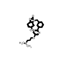 CN(C)CCCOc1cnc(-c2cccc(Cn3c(=O)oc4ccc(C#N)cc43)c2)nc1